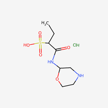 CCC(C(=O)NC1CNCCO1)S(=O)(=O)O.Cl